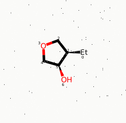 CC[C@@H]1COC[C@@H]1O